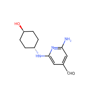 Nc1cc(C=O)cc(N[C@H]2CC[C@H](O)CC2)n1